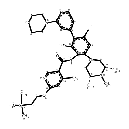 C[C@@H]1CN(c2cc(F)c(-c3ccnc(N4CCOCC4)c3)c(F)c2NC(=O)c2cnc(OCC[Si](C)(C)C)cc2C(F)(F)F)C[C@H](C)N1C